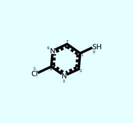 Sc1cnc(Cl)nc1